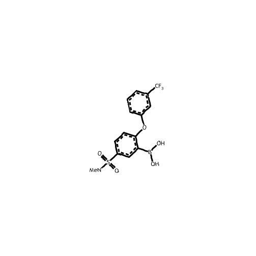 CNS(=O)(=O)c1ccc(Oc2cccc(C(F)(F)F)c2)c(B(O)O)c1